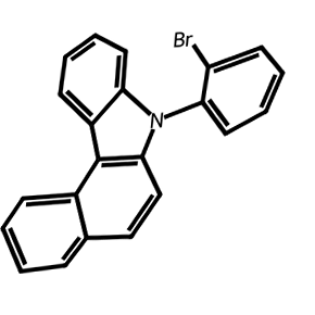 Brc1ccccc1-n1c2ccccc2c2c3ccccc3ccc21